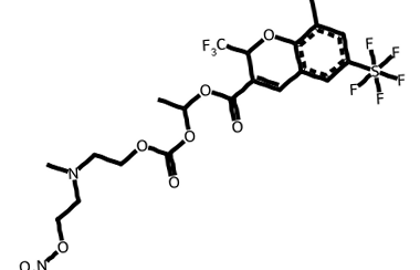 Cc1cc(S(F)(F)(F)(F)F)cc2c1OC(C(F)(F)F)C(C(=O)OC(C)OC(=O)OCCN(C)CCO[N+](=O)[O-])=C2